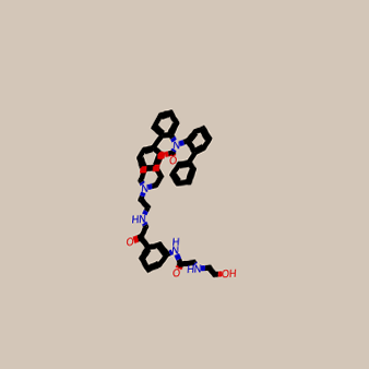 O=C(CNCCO)Nc1cccc(C(=O)CNCCN2CCC(OC(=O)N(c3ccccc3-c3ccccc3)c3ccccc3-c3ccccc3)CC2)c1